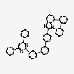 c1ccc(-c2cc(-c3ccccc3)nc(-c3cccc(-c4cccc(-c5ccc(-c6nc7cccc8c7n6-c6ccccc6-c6ccccc6-8)cc5)c4)c3)n2)cc1